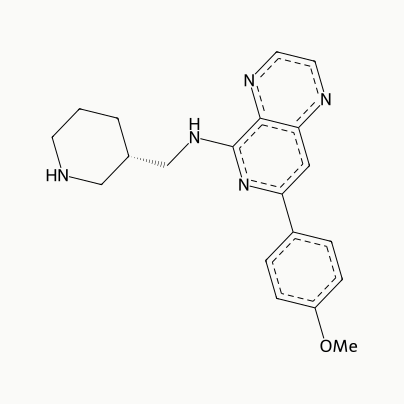 COc1ccc(-c2cc3nccnc3c(NC[C@H]3CCCNC3)n2)cc1